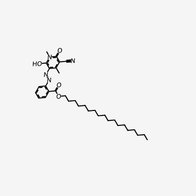 CCCCCCCCCCCCCCCCCCOC(=O)c1ccccc1/N=N/c1c(C)c(C#N)c(=O)n(C)c1O